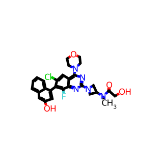 CN(C(=O)CO)C1CN(c2nc(N3CCOCC3)c3cc(Cl)c(-c4cc(O)cc5ccccc45)c(F)c3n2)C1